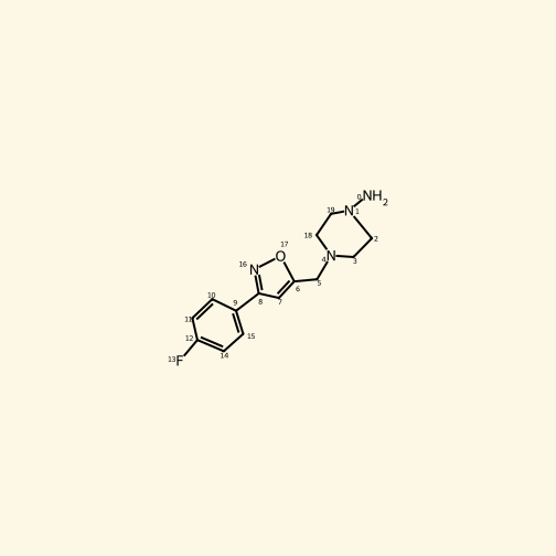 NN1CCN(Cc2cc(-c3ccc(F)cc3)no2)CC1